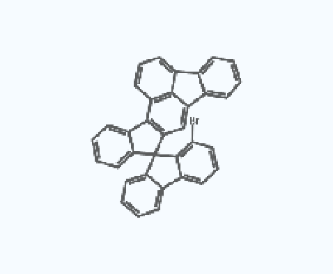 Brc1cccc2c1C1(c3ccccc3-2)c2ccccc2-c2c1cc1c3c(cccc23)-c2ccccc2-1